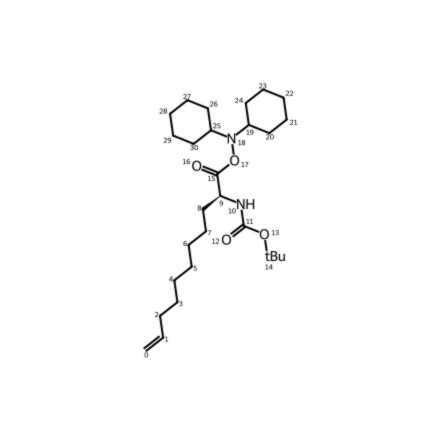 C=CCCCCCCC[C@H](NC(=O)OC(C)(C)C)C(=O)ON(C1CCCCC1)C1CCCCC1